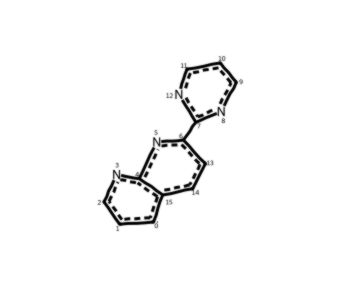 [c]1ccnc2nc(-c3ncccn3)ccc12